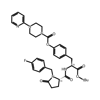 CC(C)(C)OC(=O)[C@H](Cc1ccc(OC(=O)N2CCN(c3ccccn3)CC2)cc1)NC(=O)[C@@H]1CCC(=O)N1Cc1ccc(F)cc1